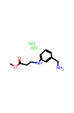 COC(=O)CCNc1cccc(CN)c1.Cl.Cl